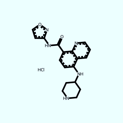 Cl.O=C(Nc1ccon1)c1ccc(NC2CCNCC2)c2cccnc12